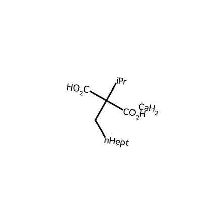 CCCCCCCCC(C(=O)O)(C(=O)O)C(C)C.[CaH2]